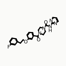 O=C(Nc1ncccn1)N1CCN(C(=O)c2cccc(OCCc3cccc(F)c3)c2)CC1